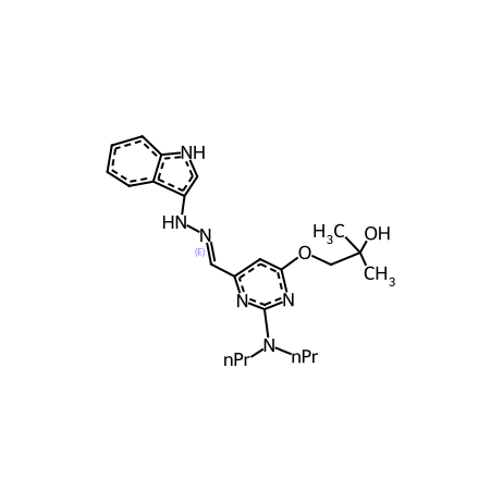 CCCN(CCC)c1nc(/C=N/Nc2c[nH]c3ccccc23)cc(OCC(C)(C)O)n1